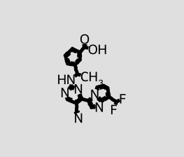 CC(Nc1ncc(C#N)c(-c2cnc3c(C(F)F)cccn23)n1)c1cccc(C(=O)O)c1